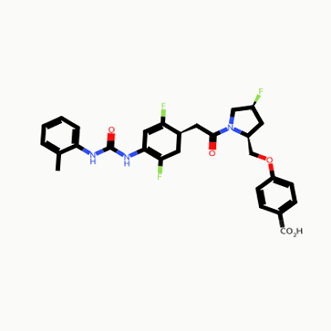 Cc1ccccc1NC(=O)NC1=C(F)C[C@H](CC(=O)N2C[C@@H](F)C[C@H]2COc2ccc(C(=O)O)cc2)C(F)=C1